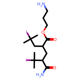 CC(C)(I)CC(CC(C(N)=O)C(C)(C)I)C(=O)OCCCN